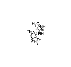 CCc1c(C)nc(Cl)nc1Nc1cc(C)[nH]n1